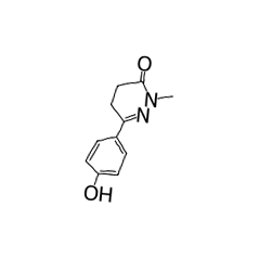 CN1N=C(c2ccc(O)cc2)CCC1=O